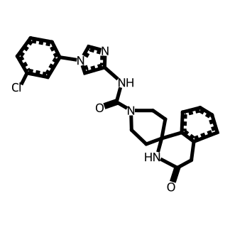 O=C1Cc2ccccc2C2(CCN(C(=O)Nc3cn(-c4cccc(Cl)c4)cn3)CC2)N1